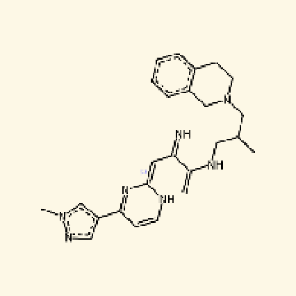 C=C(NCC(C)CN1CCc2ccccc2C1)C(=N)/C=C1/N=C(c2cnn(C)c2)C=CN1